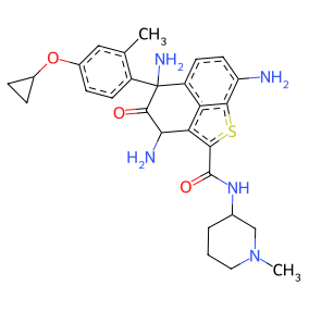 Cc1cc(OC2CC2)ccc1C1(N)C(=O)C(N)c2c(C(=O)NC3CCCN(C)C3)sc3c(N)ccc1c23